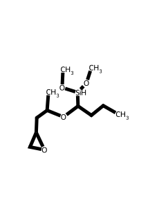 CCCC(OC(C)CC1CO1)[SiH](OC)OC